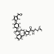 CN(C)CCNC(=O)C1=CC2(CC1)CCN(C(=O)c1ccc(-n3ccc(C=O)c3)cc1)c1ccccc1C2